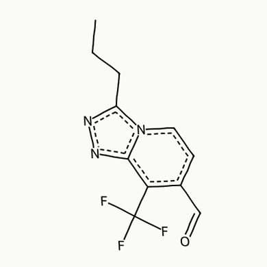 CCCc1nnc2c(C(F)(F)F)c(C=O)ccn12